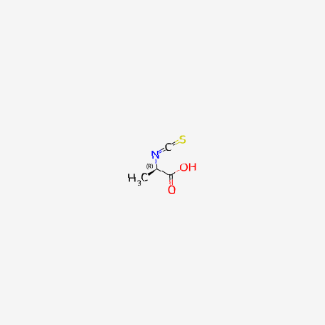 C[C@@H](N=C=S)C(=O)O